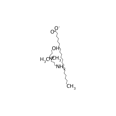 CCCCCCCCCCCCCCCCCCCCCC(=O)[O-].C[N+](C)(CCCN)CCCO